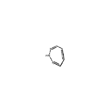 C1=CC=NNN=C1